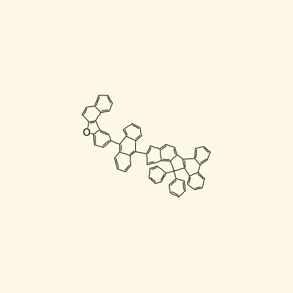 c1ccc(C2(c3ccccc3)c3c(ccc4cc(-c5c6ccccc6c(-c6ccc7oc8ccc9ccccc9c8c7c6)c6ccccc56)ccc34)-c3c2c2ccccc2c2ccccc32)cc1